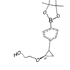 CC1(C)OB(c2ccc(C3C[C@H]3OCCO)cc2)OC1(C)C